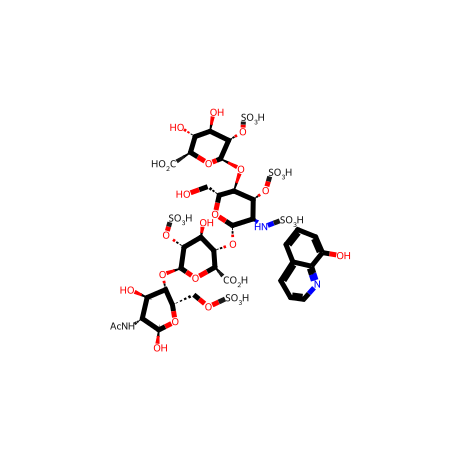 CC(=O)N[C@@H]1[C@@H](O)[C@H](O[C@@H]2O[C@H](C(=O)O)[C@@H](O[C@@H]3O[C@H](CO)[C@@H](O[C@H]4O[C@@H](C(=O)O)[C@H](O)[C@@H](O)[C@@H]4OS(=O)(=O)O)[C@H](OS(=O)(=O)O)[C@H]3NS(=O)(=O)O)[C@H](O)[C@H]2OS(=O)(=O)O)[C@H](COS(=O)(=O)O)O[C@H]1O.Oc1cccc2cccnc12